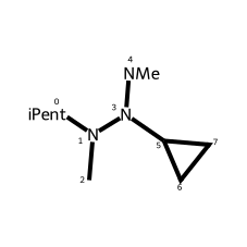 CCCC(C)N(C)N(NC)C1CC1